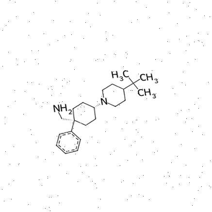 CC(C)(C)C1CCN([C@H]2CC[C@](CN)(c3ccccc3)CC2)CC1